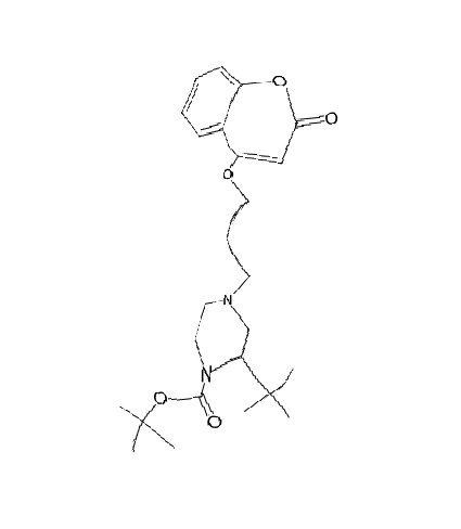 CC(C)(C)OC(=O)N1CCN(CCCOc2cc(=O)oc3ccccc23)CC1C(C)(C)C